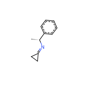 C[C@@H](N=C1CC1)c1ccccc1